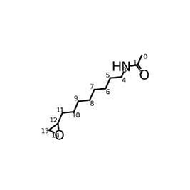 CC(=O)NCCCCCCCCC1CO1